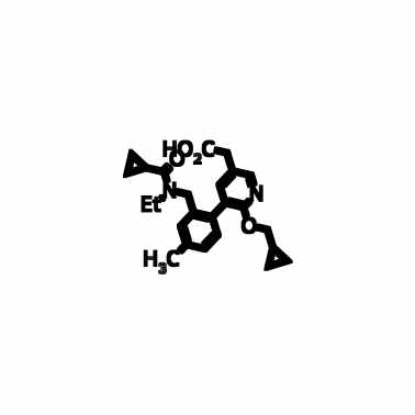 CCN(Cc1cc(C)ccc1-c1cc(CC(=O)O)cnc1OCC1CC1)C(=O)C1CC1